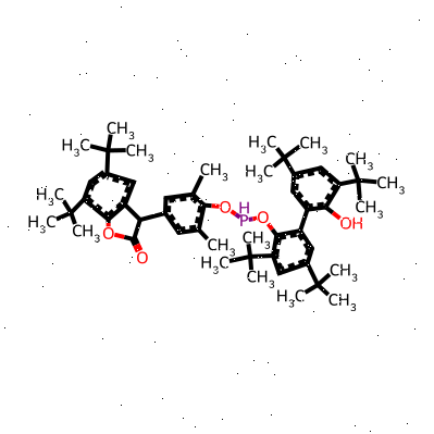 Cc1cc(C2C(=O)Oc3c2cc(C(C)(C)C)cc3C(C)(C)C)cc(C)c1OPOc1c(-c2cc(C(C)(C)C)cc(C(C)(C)C)c2O)cc(C(C)(C)C)cc1C(C)(C)C